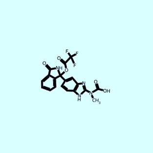 CN(C(=O)O)c1nc2cc(C3(OC(=O)C(F)(F)F)NC(=O)c4ccccc43)ccc2[nH]1